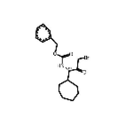 O=C(N[C@H](C(=O)CBr)C1CCCCCC1)OCc1ccccc1